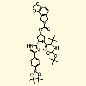 CC(C)(C)OC(=O)N[C@H](C(=O)N1C[C@H](OC(=O)N2Cc3ccc4c(c3C2)OCO4)C[C@H]1c1nc(-c2ccc(B3OC(C)(C)C(C)(C)O3)cc2)c[nH]1)C(C)(C)C